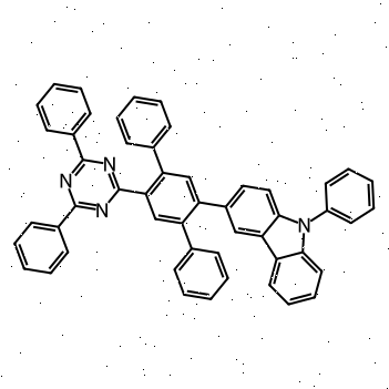 c1ccc(-c2nc(-c3ccccc3)nc(-c3cc(-c4ccccc4)c(-c4ccc5c(c4)c4ccccc4n5-c4ccccc4)cc3-c3ccccc3)n2)cc1